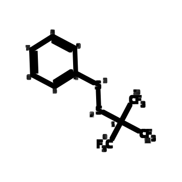 FC(F)(F)C(SSc1ccccc1)(C(F)(F)F)C(F)(F)F